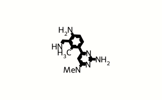 CNc1cc(-c2ccc(N)c(C=N)c2C)nc(N)n1